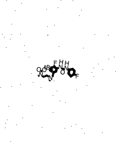 CN(CCN(C)C(=O)OC(C)(C)C)Cc1ccc(F)c(NC(=O)Nc2ccc(F)cc2)c1